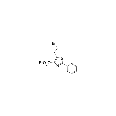 CCOC(=O)c1nc(-c2ccccc2)sc1CCBr